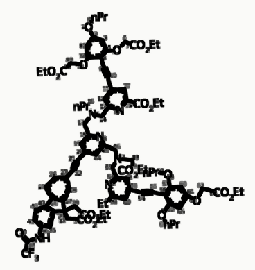 CCCOc1cc(OCC(=O)OCC)c(C#Cc2cc(CN(CCC)Cc3cc(C#Cc4ccc5c(c4)C(CC(=O)OCC)(CC(=O)OCC)c4cc(NC(=O)C(F)(F)F)ccc4-5)cc(CN(CC(=O)OCC)Cc4cc(C#Cc5c(OCCC)cc(OCC(=O)OCC)cc5OCCC)cc(CC)n4)n3)nc(C(=O)OCC)c2)c(OCC(=O)OCC)c1